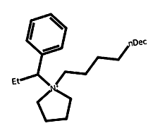 CCCCCCCCCCCCCC[N+]1(C(CC)c2ccccc2)CCCC1